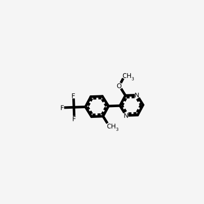 COc1nccnc1-c1ccc(C(F)(F)F)cc1C